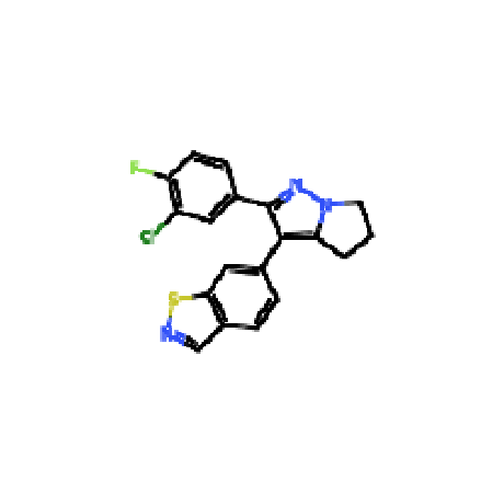 Fc1ccc(-c2nn3c(c2-c2ccc4cnsc4c2)CCC3)cc1Cl